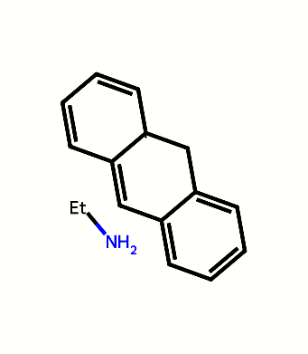 C1=C[C]2Cc3ccccc3C=C2C=C1.CCN